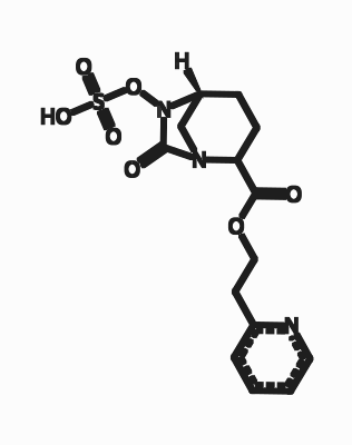 O=C(OCCc1ccccn1)C1CC[C@@H]2CN1C(=O)N2OS(=O)(=O)O